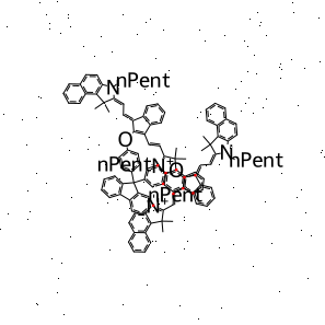 CCCCCN1/C(=C/C=C2C(Oc3ccc(C4(c5ccc(OC6=C(/C=C/C7=[N+](CCCCC)c8ccc9ccccc9c8C7(C)C)c7ccccc7/C6=C\C=C6\N(CCCCC)c7ccc8ccccc8c7C6(C)C)cc5)c5ccccc5-c5ccccc54)cc3)=C(/C=C/C3=[N+](CCCCC)c4ccc5ccccc5c4C3(C)C)c3ccccc3/2)C(C)(C)c2c1ccc1ccccc21